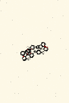 c1ccc2c(c1)Oc1ccc(N(c3ccc4c(c3)C3(c5ccccc5-c5ccccc53)c3c(ccc5ccccc35)O4)c3cccc4oc5ccccc5c34)cc1C21c2ccccc2-c2ccccc21